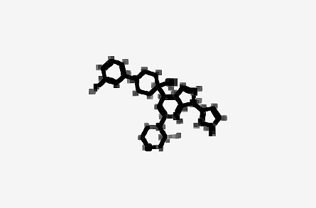 C[C@@H]1COCCN1c1cc(C2(O)CCN(c3cccc(F)c3)CC2)c2cnn(-c3cc[nH]n3)c2n1